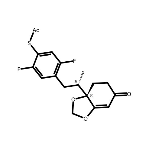 CC(=O)Sc1cc(F)c(C[C@H](C)[C@]23CCC(=O)C=C2OCO3)cc1F